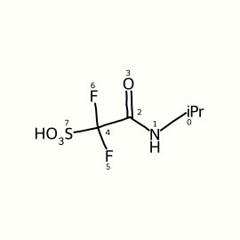 CC(C)NC(=O)C(F)(F)S(=O)(=O)O